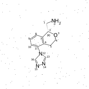 NC[C@@H]1OCCc2c1cccc2-n1cnnc1